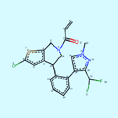 C=CC(=O)N1Cc2sc(Cl)cc2C(c2ccccc2-c2cn(C)nc2C(F)F)C1